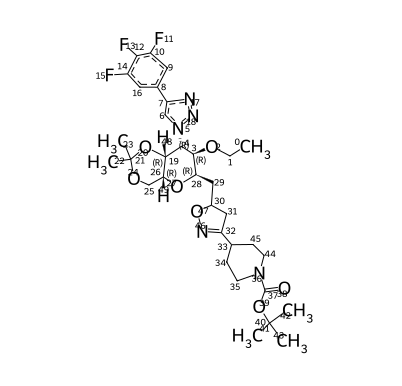 CCO[C@@H]1[C@@H](n2cc(-c3cc(F)c(F)c(F)c3)nn2)[C@H]2OC(C)(C)OC[C@H]2O[C@@H]1CC1CC(C2CCN(C(=O)OC(C)(C)C)CC2)=NO1